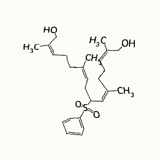 CC(=CCCC(C)=CCC(C=C(C)CCC=C(C)CO)S(=O)(=O)c1ccccc1)CO